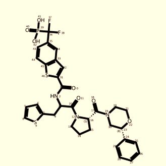 O=C(NC(Cc1cccs1)C(=O)N1CCC[C@H]1C(=O)N1CCO[C@H](c2ccccc2)C1)c1cc2cc(C(F)(F)P(=O)(O)O)ccc2s1